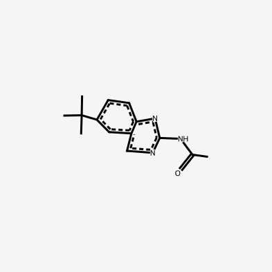 CC(=O)Nc1ncc2cc(C(C)(C)C)ccc2n1